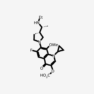 CCN[C@H](C)[C@H]1CCN(c2c(F)cc3c(=O)c(OC(=O)O)cn(C4CC4)c3c2OC)C1